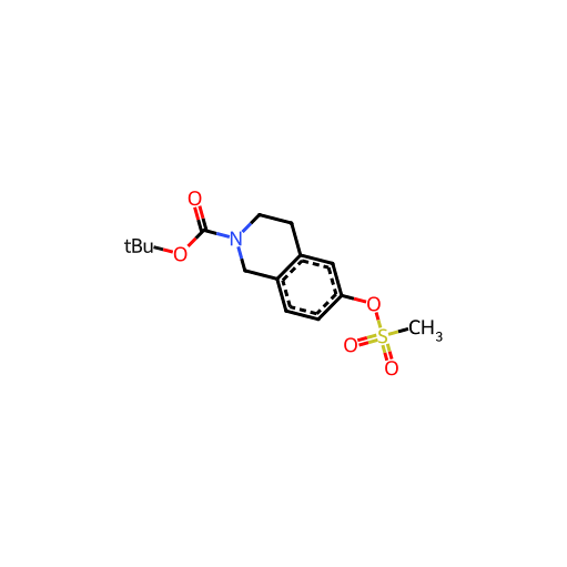 CC(C)(C)OC(=O)N1CCc2cc(OS(C)(=O)=O)ccc2C1